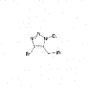 CCn1nnc(Br)c1CC(C)C